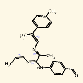 C\C=C/N=C(Nc1ccc(C=O)cc1)\C(C)=N\C=C(/C)c1ccc(C)cc1